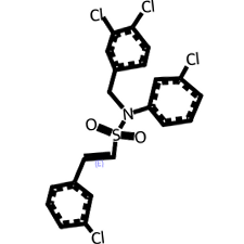 O=S(=O)(/C=C/c1cccc(Cl)c1)N(Cc1ccc(Cl)c(Cl)c1)c1cccc(Cl)c1